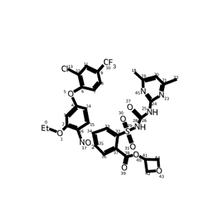 CCOc1cc(Oc2ccc(C(F)(F)F)cc2Cl)ccc1[N+](=O)[O-].Cc1cc(C)nc(NC(=O)NS(=O)(=O)c2ccccc2C(=O)OC2COC2)n1